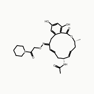 CC(=O)N[C@H]1/C=C/C[C@@H](C)OC(=O)c2c(O)cc(O)cc2CC(=N/OCC(=O)N2CCCCC2)/C=C/C1